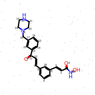 O=C(C=Cc1cccc(C=CC(=O)c2cccc(CN3CCNCC3)c2)c1)NO